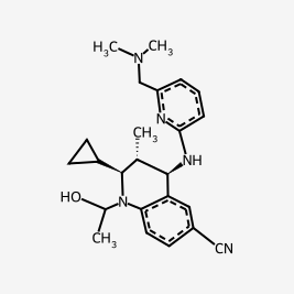 CC(O)N1c2ccc(C#N)cc2[C@H](Nc2cccc(CN(C)C)n2)[C@@H](C)[C@@H]1C1CC1